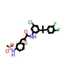 CC(C)(c1cc(Cl)cc(NC(=O)c2cc3cc(NS(C)(=O)=O)ccc3s2)c1)c1ccc(F)c(F)c1